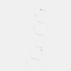 CC(=O)NC1CCN(Cc2ccc(N)c(C)c2)CC1